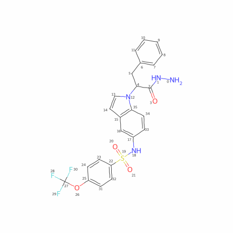 NNC(=O)C(Cc1ccccc1)n1ccc2cc(NS(=O)(=O)c3ccc(OC(F)(F)F)cc3)ccc21